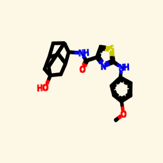 COc1ccc(Nc2nc(C(=O)NC3C4CC5CC3CC(O)(C5)C4)cs2)cc1